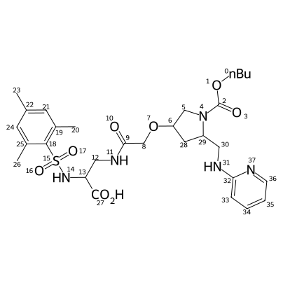 CCCCOC(=O)N1CC(OCC(=O)NCC(NS(=O)(=O)c2c(C)cc(C)cc2C)C(=O)O)CC1CNc1ccccn1